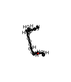 Cc1ncsc1-c1ccc(CNC(=O)[C@@H]2C[C@@H](O)CN2C(=O)[C@@H](NC(=O)COCCOCCOCCOCCNC(=O)CCCOc2cccc(N3C[C@H]4C[C@@H]3CN4/C=C/C(=O)c3ccccc3O)n2)C(C)(C)C)cc1